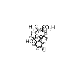 C[C@H](NC(=O)O)C1CCC(O)(c2ccc(Cl)cc2OC(F)F)O1